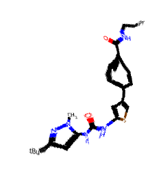 CC(C)CNC(=O)c1ccc(-c2csc(NC(=O)Nc3cc(C(C)(C)C)nn3C)c2)cc1